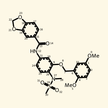 COc1ccc(OC)c(COc2cc(NC(=O)c3ccc4c(c3)OCO4)ccc2N(C)S(C)(=O)=O)c1